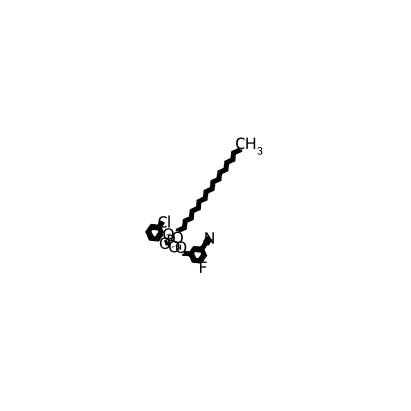 CCCCCCCCCCCCCCCCCCCOP(=O)(OOCc1cc(F)cc(C#N)c1)Oc1ccccc1Cl